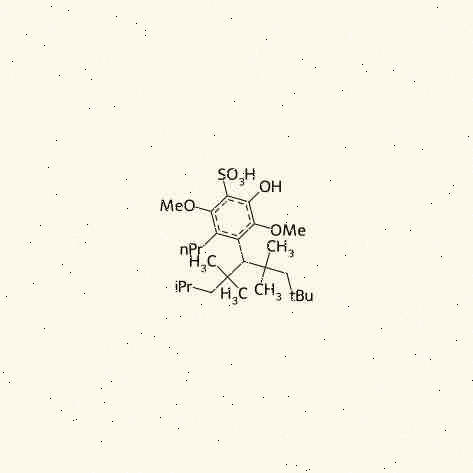 CCCc1c(OC)c(S(=O)(=O)O)c(O)c(OC)c1C(C(C)(C)CC(C)C)C(C)(C)CC(C)(C)C